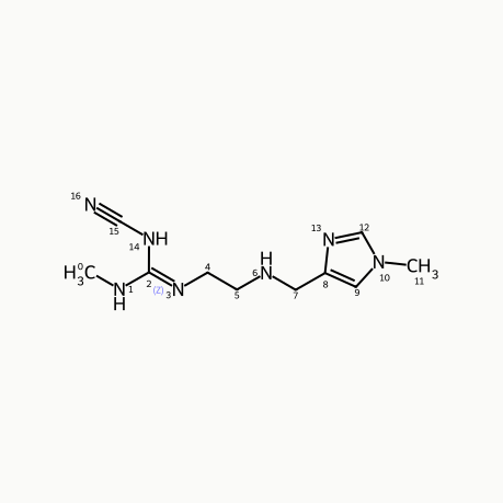 CN/C(=N/CCNCc1cn(C)cn1)NC#N